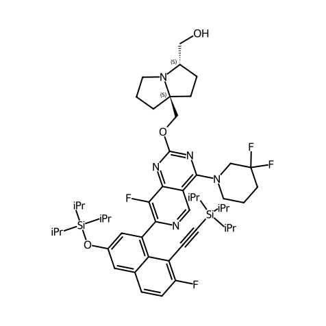 CC(C)[Si](C#Cc1c(F)ccc2cc(O[Si](C(C)C)(C(C)C)C(C)C)cc(-c3ncc4c(N5CCCC(F)(F)C5)nc(OC[C@@]56CCCN5[C@H](CO)CC6)nc4c3F)c12)(C(C)C)C(C)C